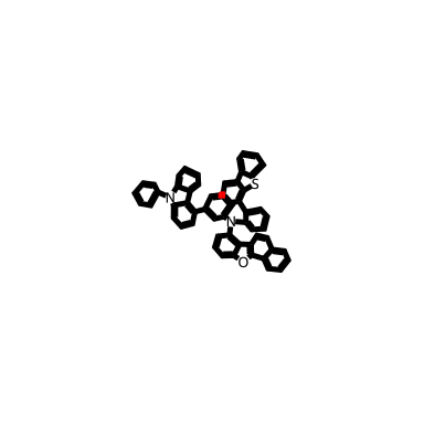 c1ccc(-n2c3ccccc3c3c(-c4cccc(N(c5ccccc5-c5cccc6c5sc5ccccc56)c5cccc6oc7c8ccccc8ccc7c56)c4)cccc32)cc1